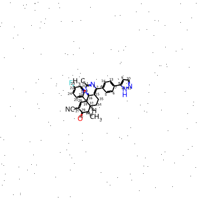 Cc1nc(-c2ccc(-c3ccn[nH]3)cc2)c2c(n1)[C@@]1(c3ccc(F)cc3)C=C(C#N)C(=O)[C@@H](C)[C@@H]1CC2